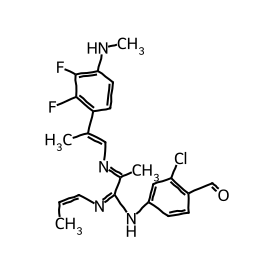 C\C=C/N=C(Nc1ccc(C=O)c(Cl)c1)\C(C)=N\C=C(/C)c1ccc(NC)c(F)c1F